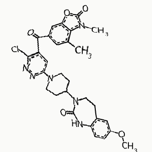 COc1ccc2c(c1)CCN(C1CCN(c3cc(C(=O)c4cc(C)c5c(c4)oc(=O)n5C)c(Cl)nn3)CC1)C(=O)N2